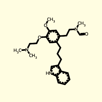 COc1cc(CCN(C)C=O)c(CCCc2c[nH]c3ccccc23)cc1OCCN(C)C